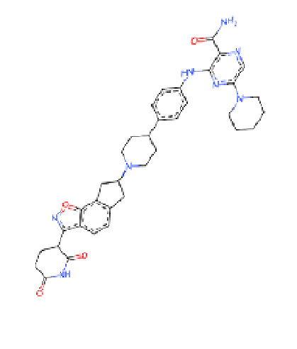 NC(=O)c1ncc(N2CCCCC2)nc1Nc1ccc(C2CCN([C@H]3Cc4ccc5c(C6CCC(=O)NC6=O)noc5c4C3)CC2)cc1